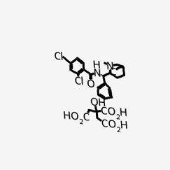 CN1CC2CCC1([C@@H](NC(=O)c1ccc(Cl)cc1Cl)c1ccccc1)CC2.O=C(O)CC(O)(CC(=O)O)C(=O)O